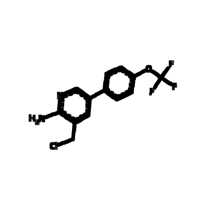 Nc1ncc(-c2ccc(OC(F)(F)F)cc2)cc1CCl